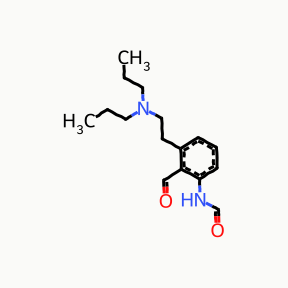 CCCN(CCC)CCc1cccc(NC=O)c1C=O